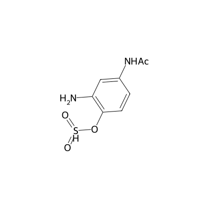 CC(=O)Nc1ccc(O[SH](=O)=O)c(N)c1